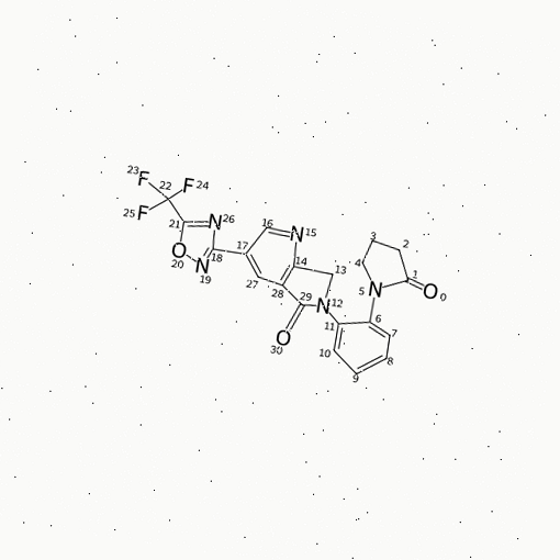 O=C1CCCN1c1ccccc1N1Cc2ncc(-c3noc(C(F)(F)F)n3)cc2C1=O